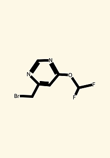 FC(F)Oc1cc(CBr)ncn1